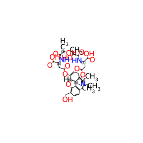 Cc1ccc(CO)c2c1[C@]13CCN(C)[C@H](C)[C@]1(OC(=O)C[C@H](NC(=O)[C@H](C)O)C(=O)O)CC=C(OC(=O)C[C@H](NC(=O)[C@H](C)O)C(=O)O)[C@@H]3O2